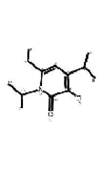 CCc1cc(C(C)C)c(Cl)c(=O)n1C(C)C